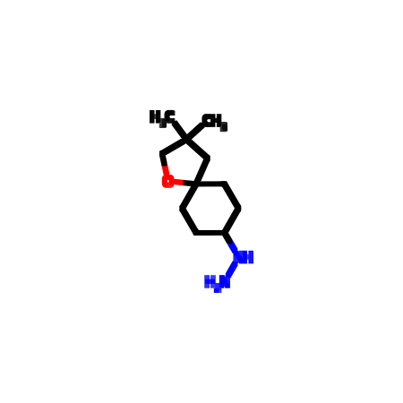 CC1(C)COC2(CCC(NN)CC2)C1